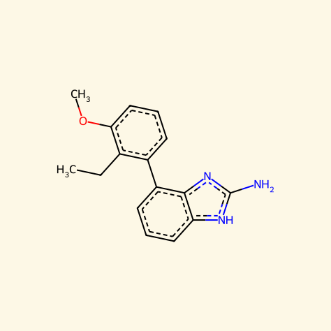 CCc1c(OC)cccc1-c1cccc2[nH]c(N)nc12